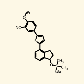 CC(C)Oc1ccc(-c2ccc(-c3cccc4c3CCC4O[Si](C)(C)C(C)(C)C)s2)cc1C#N